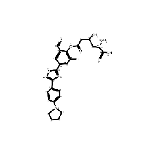 CC(CC(=O)Oc1c(F)cc(-c2nc(-c3ccc(N4CCCC4)cc3)ns2)cc1C=O)C[C@H](N)C(=O)O